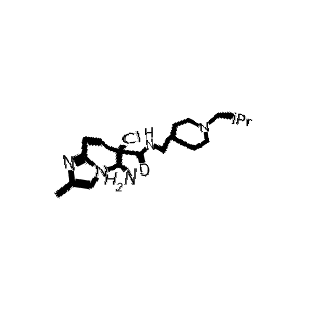 Cc1cn2c(n1)C=CC(Cl)(C(=O)NCC1CCN(CC(C)C)CC1)C2N